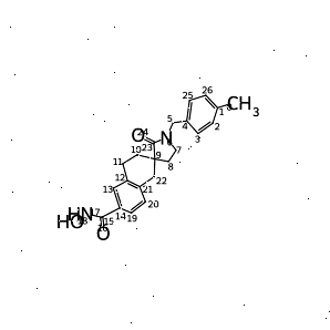 Cc1ccc(CN2CCC3(CCc4cc(C(=O)NO)ccc4C3)C2=O)cc1